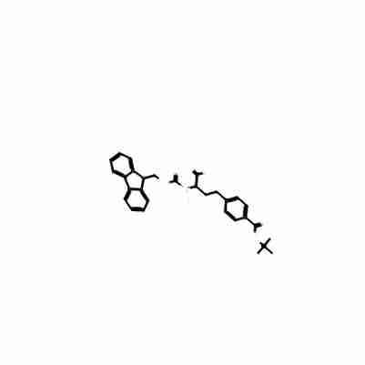 CC(C)(C)OC(=O)c1ccc(CCC(NC(=O)OCC2c3ccccc3-c3ccccc32)C(=O)O)cc1